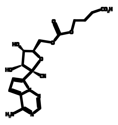 N#C[C@@]1(c2ccc3c(N)ncnn23)O[C@H](COC(=O)OCCCC(=O)O)[C@@H](O)[C@H]1O